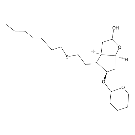 CCCCCCCSCC[C@@H]1[C@H]2CC(O)O[C@H]2C[C@H]1OC1CCCCO1